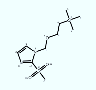 C[Si](C)(C)CCOCn1ccnc1S(C)(=O)=O